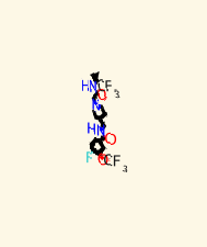 O=C(CN1CCC(CNC(=O)c2ccc(F)c(OC(F)(F)F)c2)CC1)NC1(C(F)(F)F)CC1